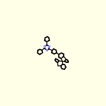 c1ccc(-c2nc(-c3ccccc3)nc(-c3ccc(-c4ccc5c(c4)C4(c6ccccc6Cc6ccccc64)c4ccccc4-5)cc3)n2)cc1